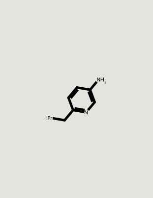 CC(C)Cc1ccc(N)cn1